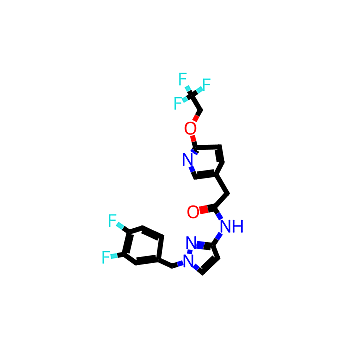 O=C(Cc1ccc(OCC(F)(F)F)nc1)Nc1ccn(Cc2ccc(F)c(F)c2)n1